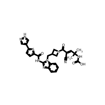 CC(C)(C=C(C#N)C(=O)N1CC(Cn2c(NC(=O)c3ccc(-c4cn[nH]c4)s3)nc3ccccc32)C1)NC(=O)O